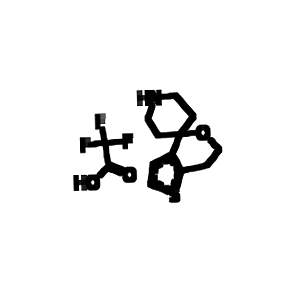 O=C(O)C(F)(F)F.c1cc2c(s1)CCOC21CCNCC1